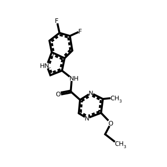 CCOc1ncc(C(=O)Nc2c[nH]c3cc(F)c(F)cc23)nc1C